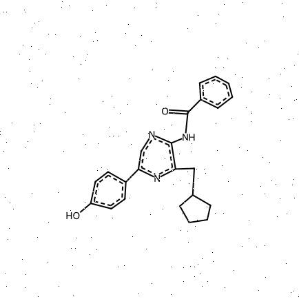 O=C(Nc1ncc(-c2ccc(O)cc2)nc1CC1CCCC1)c1ccccc1